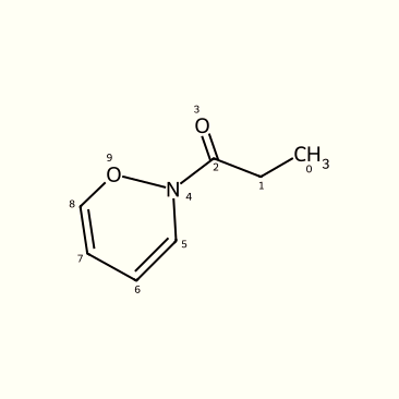 CCC(=O)N1C=CC=CO1